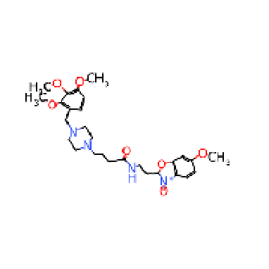 COc1ccc2c(c1)OC(CCNC(=O)CCCN1CCN(Cc3ccc(OC)c(OC)c3OC)CC1)[N+]2=O